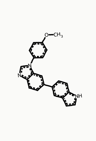 COc1ccc(-n2cnc3ccc(-c4ccc5[nH]ccc5c4)cc32)cc1